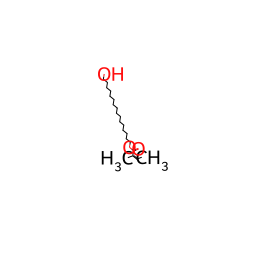 CC=C(C)C(=O)OCCCCCCCCCCCCCCCCO